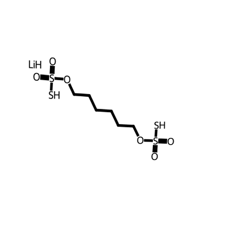 O=S(=O)(S)OCCCCCCOS(=O)(=O)S.[LiH]